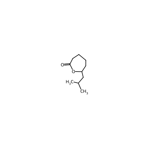 CC(C)CC1CCCCC(=O)O1